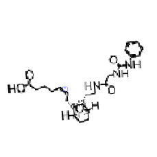 O=C(O)CCC/C=C\C[C@@H]1[C@H](CCNC(=O)CNC(=O)Nc2ccccc2)[C@@H]2CC[C@H]1O2